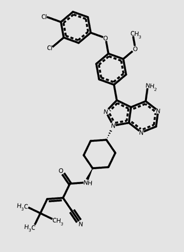 COc1cc(-c2nn([C@H]3CC[C@H](NC(=O)C(C#N)=CC(C)(C)C)CC3)c3ncnc(N)c23)ccc1Oc1ccc(Cl)c(Cl)c1